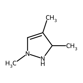 CC1=CN(C)NC1C